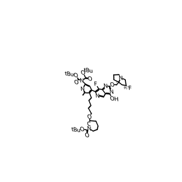 Cc1nc(N(C(=O)OC(C)(C)C)C(=O)OC(C)(C)C)cc(-c2ncc3c(O)nc(OC[C@@]45CCCN4C[C@H](F)C5)nc3c2F)c1CCCCCOC1CCCCN(C(=O)OC(C)(C)C)C1